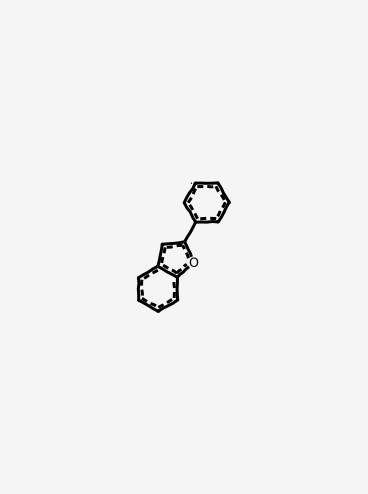 [c]1cccc(-c2cc3ccccc3o2)c1